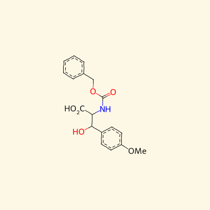 COc1ccc(C(O)C(NC(=O)OCc2ccccc2)C(=O)O)cc1